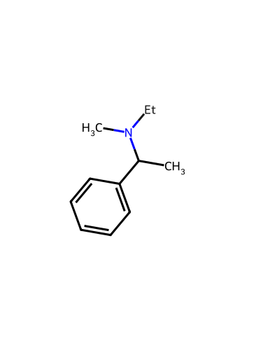 [CH2]CN(C)C(C)c1ccccc1